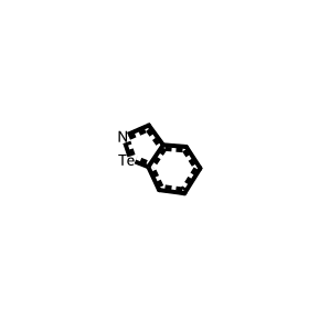 c1ccc2[te]ncc2c1